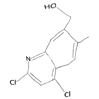 Cc1cc2c(Cl)cc(Cl)nc2cc1CO